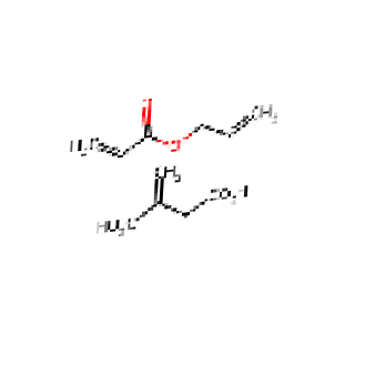 C=C(CC(=O)O)C(=O)O.C=CCOC(=O)C=C